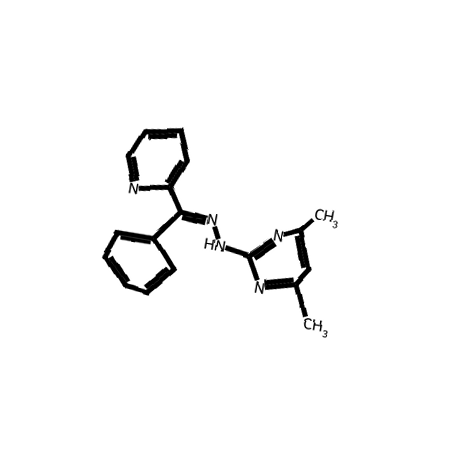 Cc1cc(C)nc(N/N=C(\c2ccccc2)c2ccccn2)n1